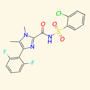 Cc1c(-c2c(F)cccc2F)nc(C(=O)NS(=O)(=O)c2ccccc2Cl)n1C